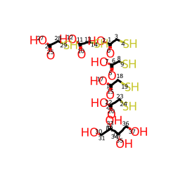 O=C(O)CS.O=C(O)CS.O=C(O)CS.O=C(O)CS.O=C(O)CS.O=C(O)CS.OC[C@@H](O)[C@@H](O)CO